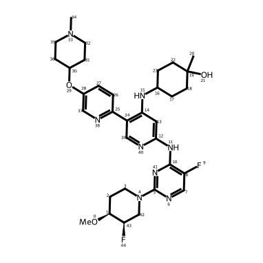 CO[C@H]1CCN(c2ncc(F)c(Nc3cc(NC4CCC(C)(O)CC4)c(-c4ccc(OC5CCN(C)CC5)cn4)cn3)n2)C[C@H]1F